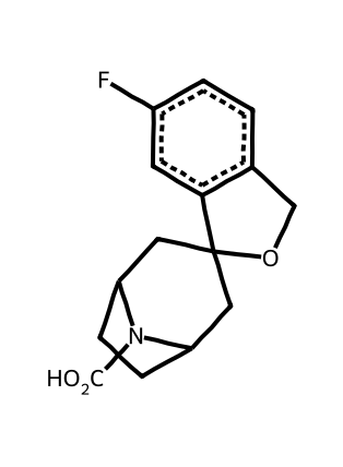 O=C(O)N1C2CCC1CC1(C2)OCc2ccc(F)cc21